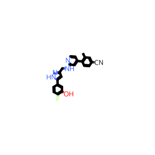 Cc1cc(C#N)ccc1-c1ccnc(NCc2cc(-c3ccc(F)c(O)c3)[nH]n2)c1